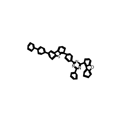 c1ccc(-c2ccc(-c3ccc4sc5c(-c6ccc(-c7nc(-c8ccccc8)nc(-c8cccc9oc%10ccccc%10c89)n7)cc6)cccc5c4c3)cc2)cc1